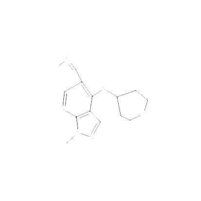 CCn1ncc2c(NC3CCOCC3)c(/C=N\O)cnc21